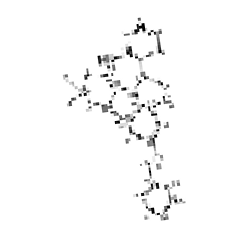 CC(=O)N1c2ccncc2NC2=C(C(=O)CC(C)(C)C2)C1c1ccc(OCc2cccnc2)cc1Cl